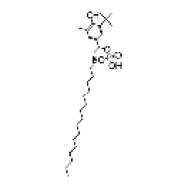 CCCCCCCCCCCCCCCCCCC(OP(=O)(O)O)c1cc(C)c(O)c(C(C)(C)C)c1